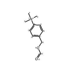 C[N+](C)(C)c1ccc(COC=O)cc1